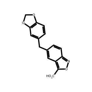 O=C(O)c1onc2ccc(Cc3ccc4c(c3)OCO4)cc12